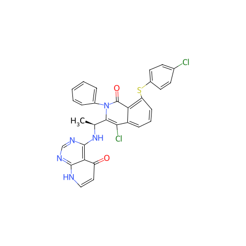 C[C@H](Nc1ncnc2[nH]ccc(=O)c12)c1c(Cl)c2cccc(Sc3ccc(Cl)cc3)c2c(=O)n1-c1ccccc1